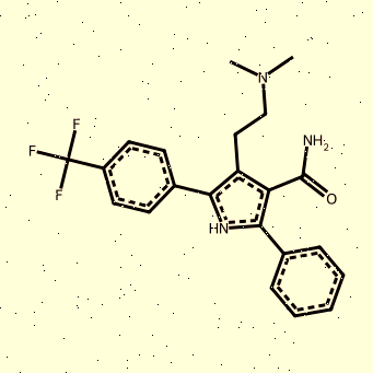 CN(C)CCc1c(-c2ccc(C(F)(F)F)cc2)[nH]c(-c2ccccc2)c1C(N)=O